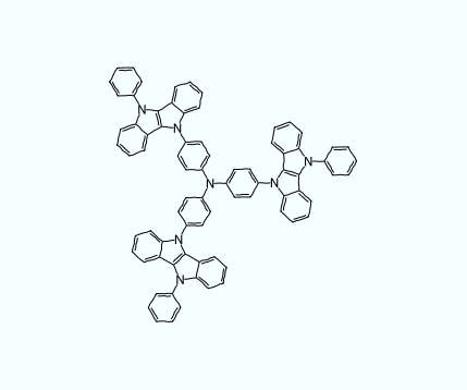 c1ccc(-n2c3ccccc3c3c2c2ccccc2n3-c2ccc(N(c3ccc(-n4c5ccccc5c5c4c4ccccc4n5-c4ccccc4)cc3)c3ccc(-n4c5ccccc5c5c4c4ccccc4n5-c4ccccc4)cc3)cc2)cc1